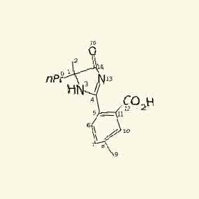 CCCC1(C)NC(c2ccc(C)cc2C(=O)O)=NC1=O